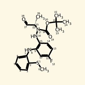 CSc1ccccc1Nc1cc(F)ccc1NN(C(=O)OC(C)(C)C)[C@@H](C)C=O